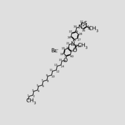 CCCCCCCCCCCCCCCCOc1ccc(CN(C(C)=O)c2ccc(C[n+]3csc(C)c3)cc2)cc1.[Br-]